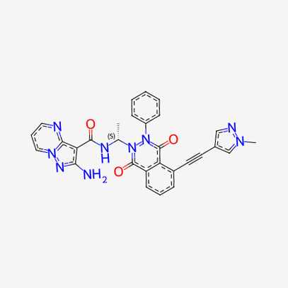 C[C@@H](NC(=O)c1c(N)nn2cccnc12)n1c(=O)c2cccc(C#Cc3cnn(C)c3)c2c(=O)n1-c1ccccc1